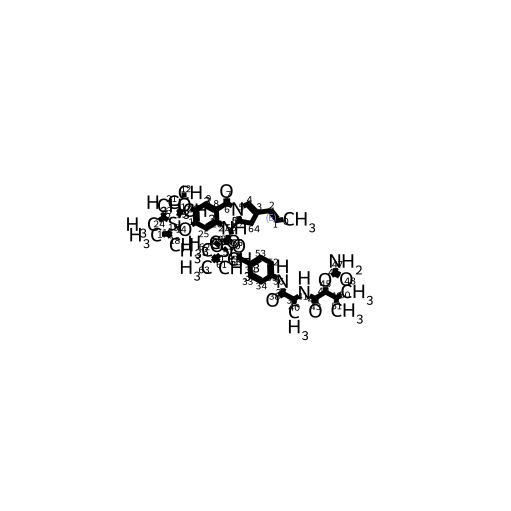 C/C=C/C1=CN(C(=O)c2cc(OC)c(O[Si](C(C)C)(C(C)C)C(C)C)cc2NC(=O)OCc2ccc(NC(=O)C(C)NC(=O)C(OC(N)=O)C(C)C)cc2)[C@H](CO[Si](C)(C)C(C)(C)C)C1